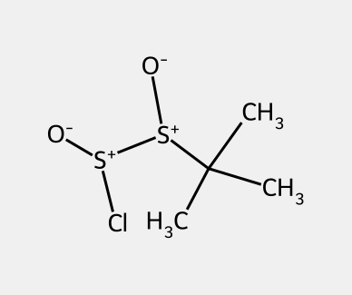 CC(C)(C)[S+]([O-])[S+]([O-])Cl